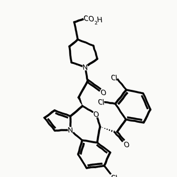 O=C(O)CC1CCN(C(=O)C[C@H]2O[C@H](C(=O)c3cccc(Cl)c3Cl)c3cc(Cl)ccc3-n3cccc32)CC1